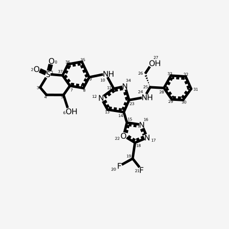 O=S1(=O)CCC(O)c2cc(Nc3ncc(-c4nnc(C(F)F)o4)c(N[C@H](CO)c4ccccc4)n3)ccc21